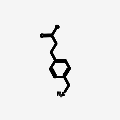 CCc1ccc(CCC([O])=O)cc1